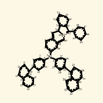 C1=c2ccc(N(c3ccc(-c4cccc5ccccc45)cc3)c3ccc(-c4cccc5ccccc45)cc3)cc2=C[N+]2=C(c3ccccc3)c3ccccc3C12